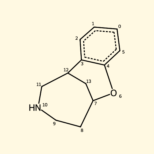 c1ccc2c(c1)OC1CCNCC2C1